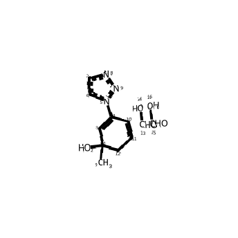 CC1(O)C=C(n2ccnn2)C=CC1.O=CO.O=CO